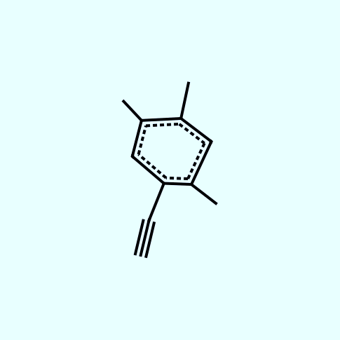 C#Cc1cc(C)c(C)cc1C